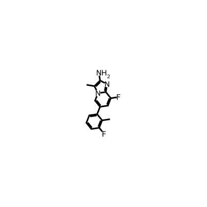 Cc1c(F)cccc1-c1cc(F)c2nc(N)c(C)n2c1